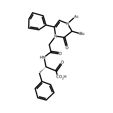 CCC(C)C1C(=O)N(CC(=O)N[C@@H](Cc2ccccc2)C(=O)C(=O)O)C(c2ccccc2)=CN1C(C)=O